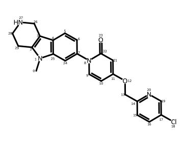 Cn1c2c(c3ccc(-n4ccc(OCc5ccc(Cl)cn5)cc4=O)cc31)CNCC2